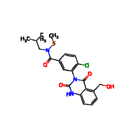 CSN(CC(C)C)C(=O)c1ccc(Cl)c(-n2c(=O)[nH]c3cccc(CO)c3c2=O)c1